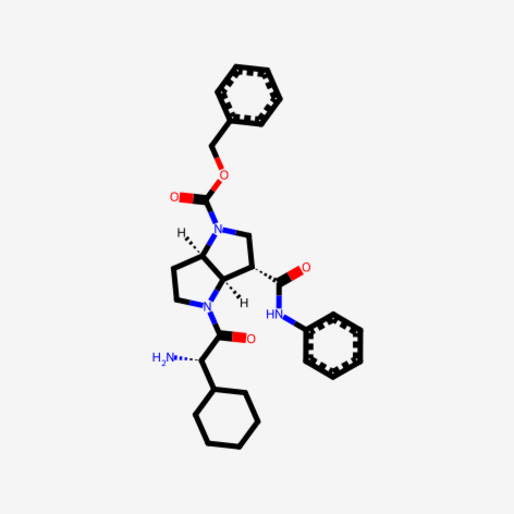 N[C@H](C(=O)N1CC[C@@H]2[C@H]1[C@@H](C(=O)Nc1ccccc1)CN2C(=O)OCc1ccccc1)C1CCCCC1